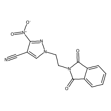 N#Cc1cn(CCN2C(=O)c3ccccc3C2=O)nc1[N+](=O)[O-]